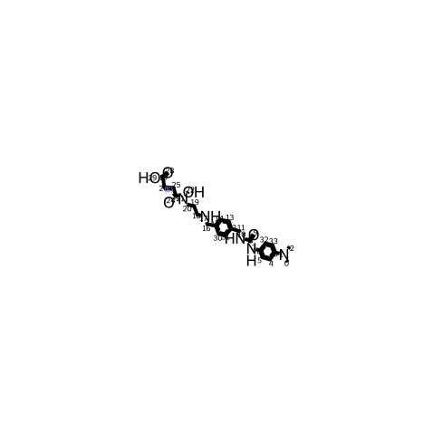 CN(C)c1ccc(NC(=O)NCc2ccc(CNCCCN(O)C(=O)/C=C/C(=O)O)cc2)cc1